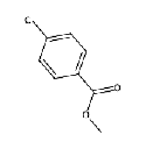 COC(=O)c1ccc(Cl)cc1